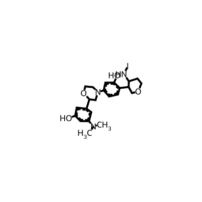 CN(C)c1cc(O)cc(C2CN(c3ccc(C4COCCC4NI)c(O)c3)CCO2)c1